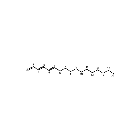 [CH]=CC=CC=CCCCCCCCCCCC